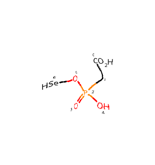 O=C(O)CP(=O)(O)O[SeH]